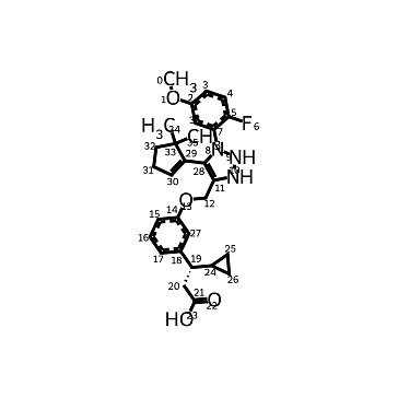 COc1ccc(F)c(N2NNC(COc3cccc([C@@H](CC(=O)O)C4CC4)c3)=C2C2=CCCC2(C)C)c1